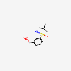 CC(C)(C)[S@@](=N)(=O)c1cccc(CO)c1